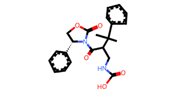 CC(C)(c1ccccc1)C(CNC(=O)O)C(=O)N1C(=O)OC[C@H]1c1ccccc1